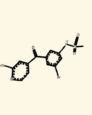 COc1cc(C(=O)c2cc(Br)cc(NS(C)(=O)=O)c2)ccn1